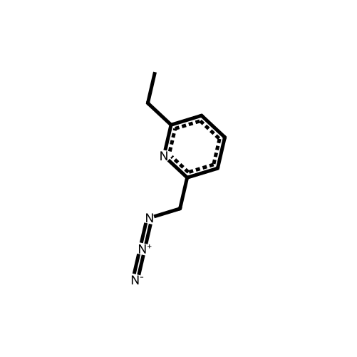 CCc1cccc(CN=[N+]=[N-])n1